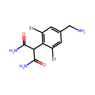 CCc1cc(CN)cc(CC)c1C(C(N)=O)C(N)=O